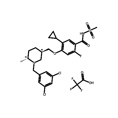 C[C@@H]1CC[C@@H](COc2cc(F)c(C(=O)NS(C)(=O)=O)cc2C2CC2)CN1Cc1cc(Cl)cc(Cl)c1.O=C(O)C(F)(F)F